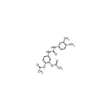 CC(=O)Oc1ccc(NC(=O)Nc2ccc(C)c(C)c2)cc1OC(C)=O